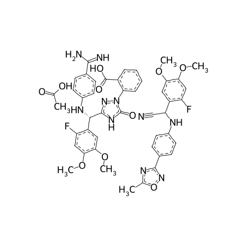 CC(=O)O.COc1cc(F)c(C(C#N)Nc2ccc(-c3noc(C)n3)cc2)cc1OC.COc1cc(F)c([C@H](Nc2ccc(C(=N)N)cc2)c2nn(-c3ccccc3C(=O)O)c(=O)[nH]2)cc1OC